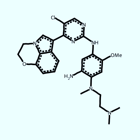 COc1cc(N(C)CCN(C)C)c(N)cc1Nc1ncc(Cl)c(-c2cn3c4c(cccc24)OCC3)n1